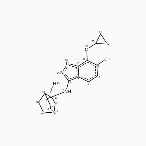 Clc1ccc2c(N[C@H]3CN4CCC3CC4)noc2c1OC1CC1